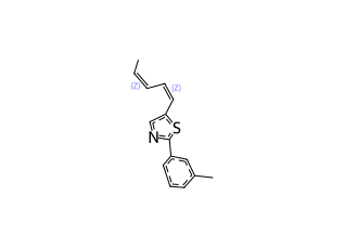 C/C=C\C=C/c1cnc(-c2cccc(C)c2)s1